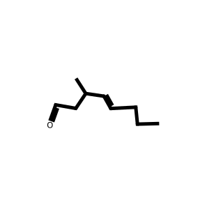 CCCC=CC(C)CC=O